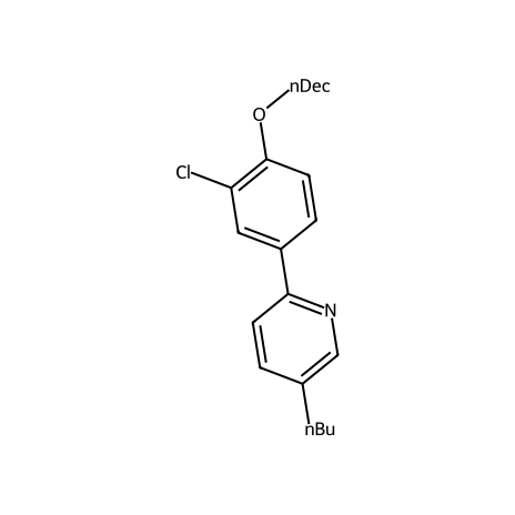 CCCCCCCCCCOc1ccc(-c2ccc(CCCC)cn2)cc1Cl